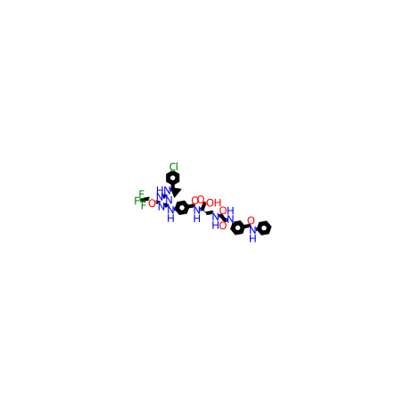 O=C(NCC[C@H](NC(=O)c1ccc(Nc2nc(NC3(c4ccc(Cl)cc4)CC3)nc(OCC(F)(F)F)n2)cc1)C(=O)O)C(=O)Nc1cccc(C(=O)Nc2ccccc2)c1